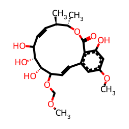 COCOC1/C=C/c2cc(OC)cc(O)c2C(=O)O[C@@H](C)[C@H](C)/C=C\C(O)[C@@H](O)[C@H]1O